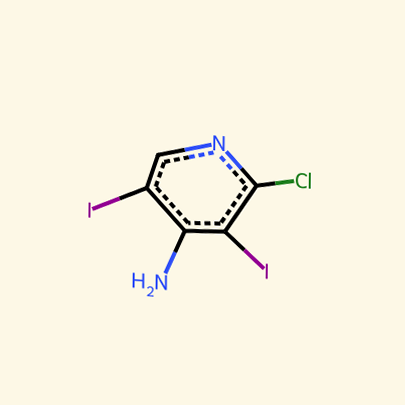 Nc1c(I)cnc(Cl)c1I